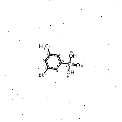 CCc1cc(C)cc(P(=O)(O)O)c1